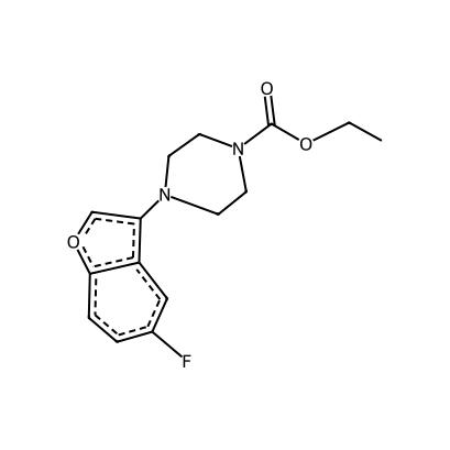 CCOC(=O)N1CCN(c2coc3ccc(F)cc23)CC1